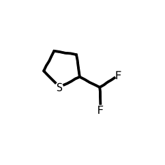 FC(F)C1CCCS1